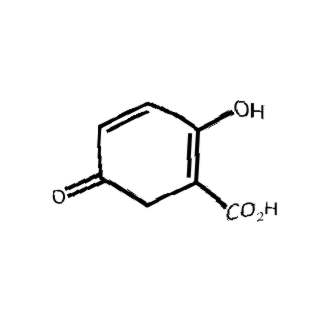 O=C1C=CC(O)=C(C(=O)O)C1